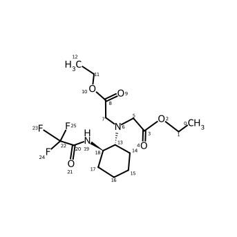 CCOC(=O)CN(CC(=O)OCC)[C@@H]1CCCC[C@H]1NC(=O)C(F)(F)F